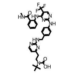 CNC(=O)c1ccccc1Nc1nc(Nc2ccc(CNc3nccc(CCN(C(=O)O)C(C)(C)C)n3)cc2)ncc1C(F)(F)F